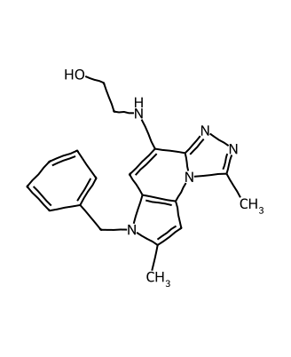 Cc1cc2c(cc(NCCO)c3nnc(C)n32)n1Cc1ccccc1